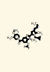 C=c1/c(=C\C=C/C)cc(-c2nc3cc(C(=O)N4CC[C@H](OC)[C@H](C)C4)cc(OC(F)F)c3n2C)n1CC1CC1